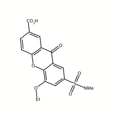 CCOc1cc(S(=O)(=O)NC)cc2c(=O)c3cc(C(=O)O)ccc3oc12